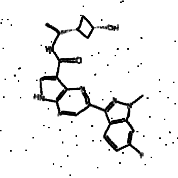 CC(NC(=O)c1c[nH]c2ncc(-c3nn(C)c4cc(F)ccc34)nc12)[C@H]1C[C@@H](O)C1